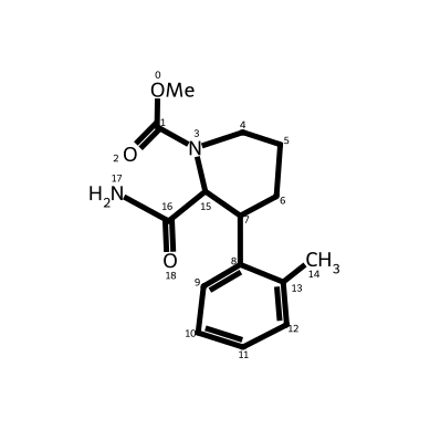 COC(=O)N1CCCC(c2ccccc2C)C1C(N)=O